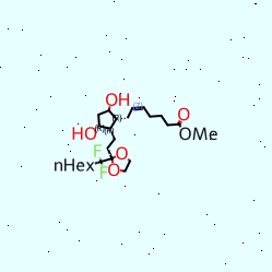 CCCCCCC(F)(F)C1(CC[C@H]2[C@H](O)CC(O)[C@@H]2C/C=C\CCCC(=O)OC)OCCO1